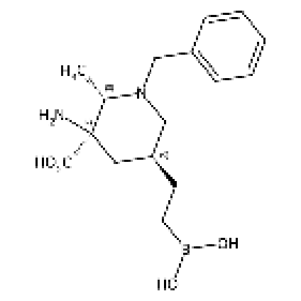 C[C@@H]1N(Cc2ccccc2)C[C@@H](CCB(O)O)C[C@]1(N)C(=O)O